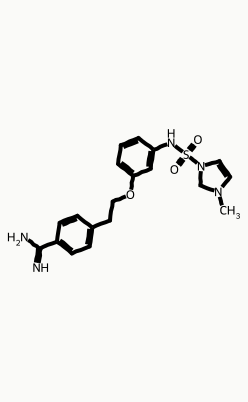 CN1C=CN(S(=O)(=O)Nc2cccc(OCCc3ccc(C(=N)N)cc3)c2)C1